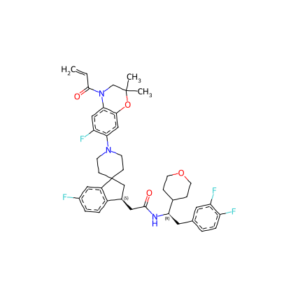 C=CC(=O)N1CC(C)(C)Oc2cc(N3CCC4(CC3)C[C@@H](CC(=O)N[C@H](Cc3ccc(F)c(F)c3)C3CCOCC3)c3ccc(F)cc34)c(F)cc21